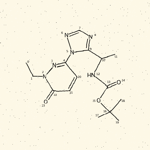 CCn1nc(-n2ncnc2C(C)NC(=O)OC(C)(C)C)ccc1=O